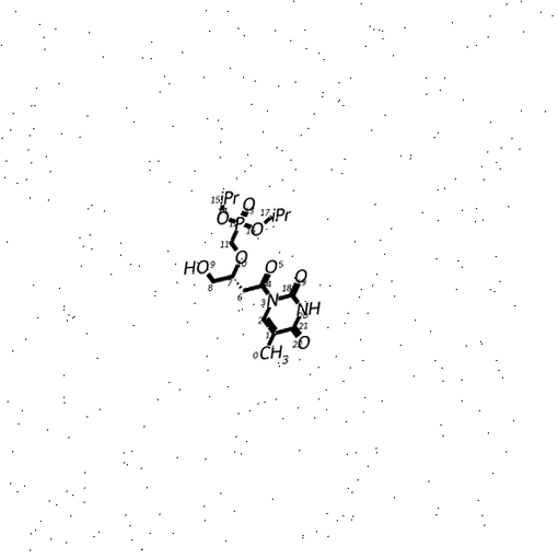 Cc1cn(C(=O)C[C@H](CO)OCP(=O)(OC(C)C)OC(C)C)c(=O)[nH]c1=O